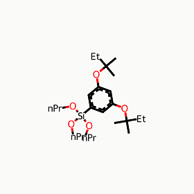 CCCO[Si](OCCC)(OCCC)c1cc(OC(C)(C)CC)cc(OC(C)(C)CC)c1